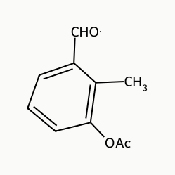 CC(=O)Oc1cccc([C]=O)c1C